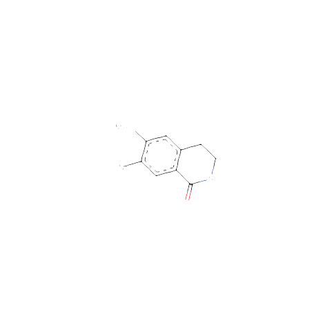 COc1cc2c(cc1N=O)C(=O)NCC2